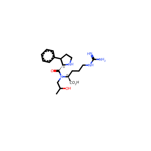 CC(O)CN(C(=O)[C@H]1NCCC1c1ccccc1)[C@@H](CCCNC(=N)N)C(=O)O